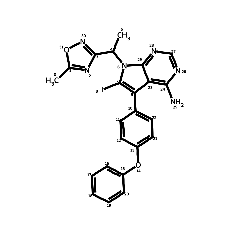 Cc1nc(C(C)n2c(I)c(-c3ccc(Oc4ccccc4)cc3)c3c(N)ncnc32)no1